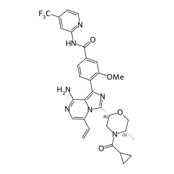 C=Cc1cnc(N)c2c(-c3ccc(C(=O)Nc4cc(C(F)(F)F)ccn4)cc3OC)nc([C@H]3CN(C(=O)C4CC4)[C@@H](C)CO3)n12